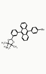 CC(C)(C)c1ccc(-c2c3ccccc3c(-c3cccc(B4OC(C)(C)C(C)(C)O4)c3)c3ccccc23)cc1